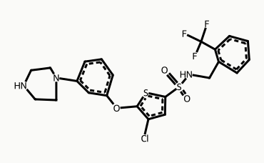 O=S(=O)(NCc1ccccc1C(F)(F)F)c1cc(Cl)c(Oc2cccc(N3CCNCC3)c2)s1